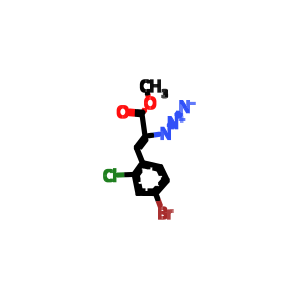 COC(=O)C(=Cc1ccc(Br)cc1Cl)N=[N+]=[N-]